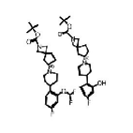 CC(C)(C)OC(=O)N1CC2(CC[C@@H](N3CCC(c4ccc(F)cc4O)CC3)C2)C1.CC(C)(C)OC(=O)N1CC2(CC[C@@H](N3CCC(c4ccc(F)cc4OC(F)F)CC3)C2)C1